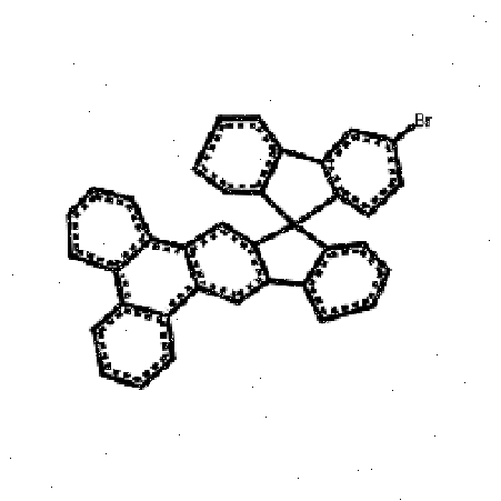 Brc1ccc2c(c1)-c1ccccc1C21c2ccccc2-c2cc3c4ccccc4c4ccccc4c3cc21